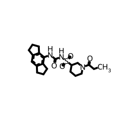 CCC(=O)N1CCCC(S(=O)(=O)NC(=O)Nc2c3c(cc4c2CCC4)CCC3)C1